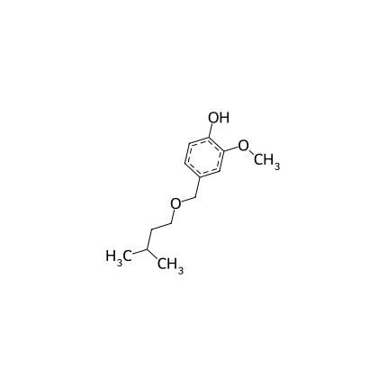 COc1cc(COCCC(C)C)ccc1O